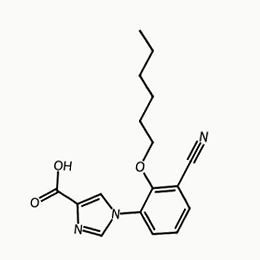 CCCCCCOc1c(C#N)cccc1-n1cnc(C(=O)O)c1